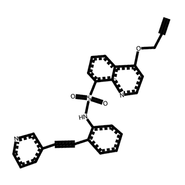 C#CCOc1ccnc2c(S(=O)(=O)Nc3ccccc3C#Cc3cccnc3)cccc12